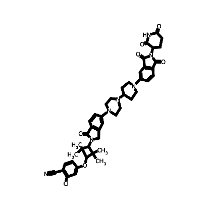 CC1(C)C(Oc2ccc(C#N)c(Cl)c2)C(C)(C)C1N1Cc2cc(N3CCN(C4CCN(c5ccc6c(c5)C(=O)N(C5CCC(=O)NC5=O)C6=O)CC4)CC3)ccc2C1=O